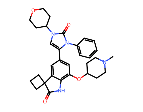 CN1CCC(Oc2cc(-c3cn(C4CCOCC4)c(=O)n3-c3ccccc3)cc3c2NC(=O)C32CCC2)CC1